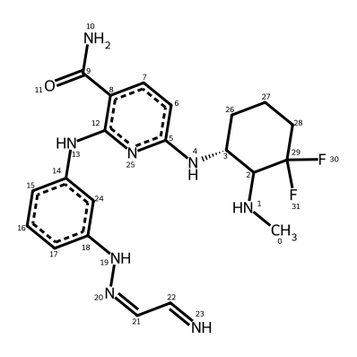 CNC1[C@H](Nc2ccc(C(N)=O)c(Nc3cccc(N/N=C\C=N)c3)n2)CCCC1(F)F